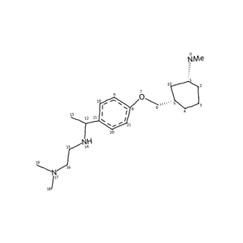 CN[C@@H]1CCC[C@H](COc2ccc(C(C)NCCN(C)C)cc2)C1